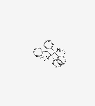 NC(Cc1ccccc1)(c1ccccc1)C(N)(c1ccccc1)c1ccccc1